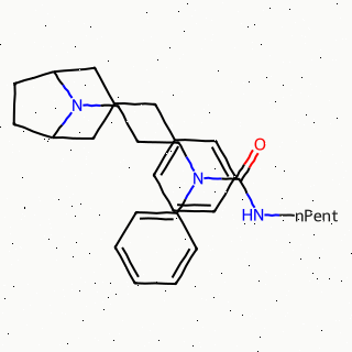 CCCCCNC(=O)N(CCCN1C2CCC1CC(Cc1ccccc1)C2)c1ccccc1